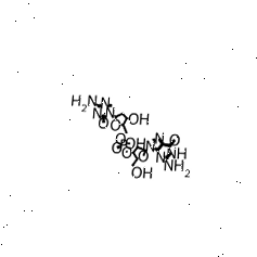 Nc1ncn([C@H]2C[C@@H](O)C(COP(=O)(O)O[C@@H]3C[C@H](n4cnc5c(=O)[nH]c(N)nc54)OC3CO)O2)c(=O)n1